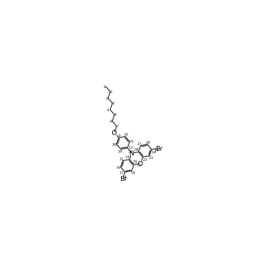 CCCCCCCCOc1ccc(N2c3ccc(Br)cc3Oc3cc(Br)ccc32)cc1